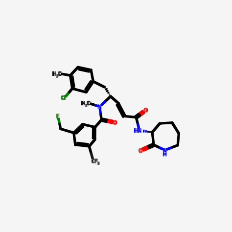 Cc1ccc(C[C@H](/C=C/C(=O)N[C@@H]2CCCCNC2=O)N(C)C(=O)c2cc(CF)cc(C(F)(F)F)c2)cc1Cl